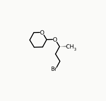 C[C@H](CCBr)OC1CCCCO1